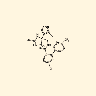 Cn1nccc1C1(CNC(=O)c2ccc(Cl)cc2-c2ccc(C(F)(F)F)nc2)NC(=O)NC1=O